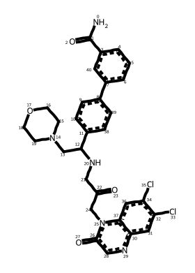 NC(=O)c1cccc(-c2ccc(C(CN3CCOCC3)NCC(=O)Cn3c(=O)cnc4cc(Cl)c(Cl)cc43)cc2)c1